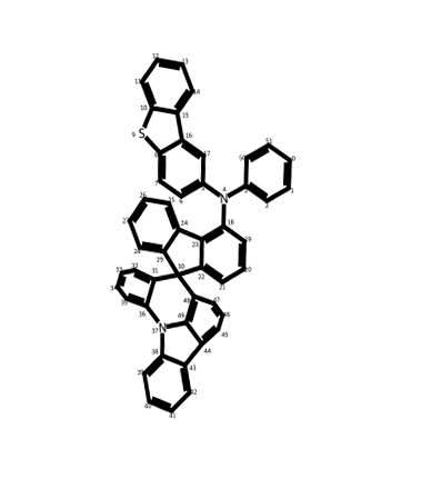 c1ccc(N(c2ccc3sc4ccccc4c3c2)c2cccc3c2-c2ccccc2C32c3ccccc3-n3c4ccccc4c4cccc2c43)cc1